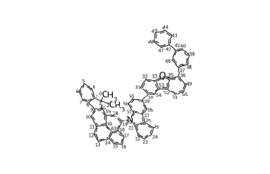 CC1(C)c2ccccc2-c2cc3ccc4cccc5c(-n6c7ccccc7c7cc(-c8ccc9oc%10c(-c%11cccc(-c%12ccccc%12)c%11)cccc%10c9c8)ccc76)cc(c21)c3c45